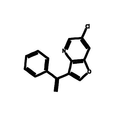 C=C(c1ccccc1)c1coc2cc(Cl)cnc12